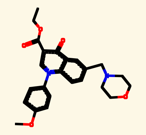 CCOC(=O)c1cn(-c2ccc(OC)cc2)c2ccc(CN3CCOCC3)cc2c1=O